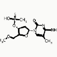 COCC1O[C@@H](n2cc(C)c(N)nc2=O)C[C@H]1OP(C)(O)=S